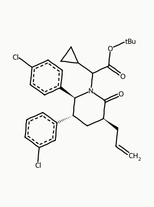 C=CC[C@H]1C[C@H](c2cccc(Cl)c2)[C@@H](c2ccc(Cl)cc2)N(C(C(=O)OC(C)(C)C)C2CC2)C1=O